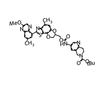 COc1cnc2c(-c3nc4c(C)cc5c(c4s3)OCC(COC(=O)Nc3cnc4c(c3)CN(C(=O)OC(C)(C)C)CC4)O5)cc(C)cc2n1